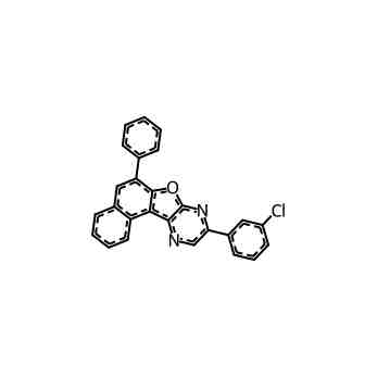 Clc1cccc(-c2cnc3c(n2)oc2c(-c4ccccc4)cc4ccccc4c23)c1